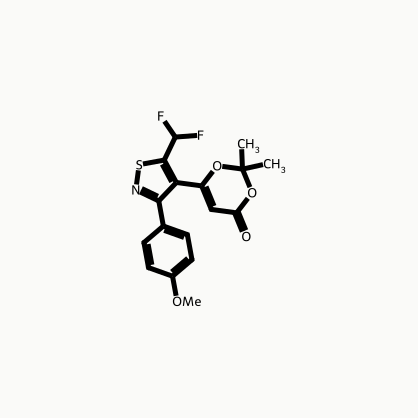 COc1ccc(-c2nsc(C(F)F)c2C2=CC(=O)OC(C)(C)O2)cc1